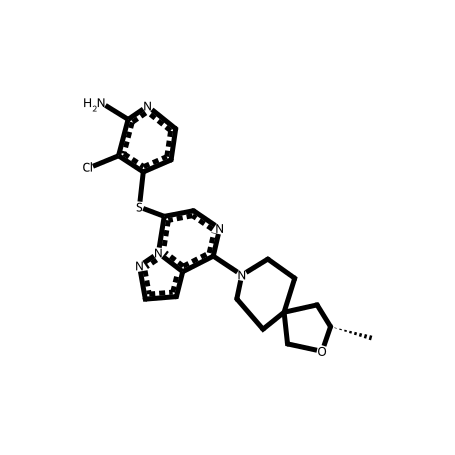 C[C@H]1CC2(CCN(c3ncc(Sc4ccnc(N)c4Cl)n4nccc34)CC2)CO1